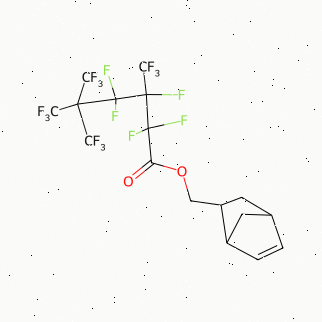 O=C(OCC1CC2C=CC1C2)C(F)(F)C(F)(C(F)(F)F)C(F)(F)C(C(F)(F)F)(C(F)(F)F)C(F)(F)F